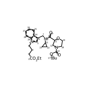 CCOC(=O)CCCn1cc(CN(C(=O)C2CN(C(=O)OC(C)(C)C)CCO2)C2CC2)c2ccccc21